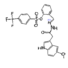 COc1ccc2[nH]cc(CC(=O)N/N=C/c3ccccc3OS(=O)(=O)c3ccc(C(F)(F)F)cc3)c2c1